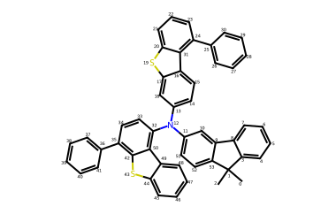 CC1(C)c2ccccc2-c2cc(N(c3ccc4c(c3)sc3cccc(-c5ccccc5)c34)c3ccc(-c4ccccc4)c4sc5ccccc5c34)ccc21